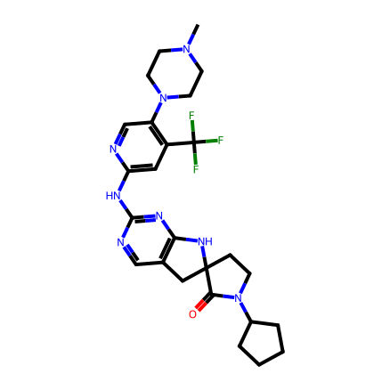 CN1CCN(c2cnc(Nc3ncc4c(n3)NC3(CCN(C5CCCC5)C3=O)C4)cc2C(F)(F)F)CC1